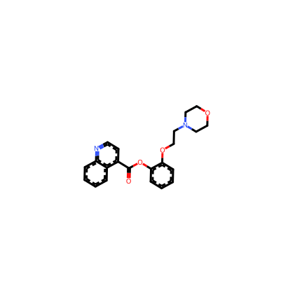 O=C(Oc1ccccc1OCCN1CCOCC1)c1ccnc2ccccc12